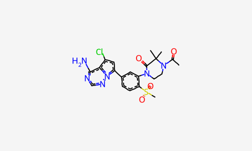 CC(=O)N1CCN(c2cc(-c3cc(Cl)c4c(N)ncnn34)ccc2S(C)(=O)=O)C(=O)C1(C)C